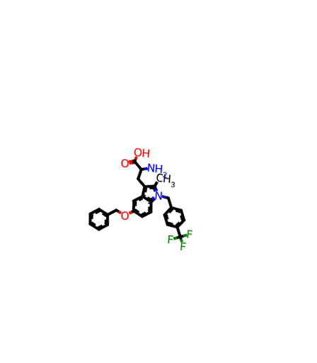 Cc1c(CC(N)C(=O)O)c2cc(OCc3ccccc3)ccc2n1Cc1ccc(C(F)(F)F)cc1